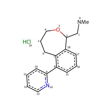 CNCC1OCCCc2c(-c3ccccn3)cccc21.Cl